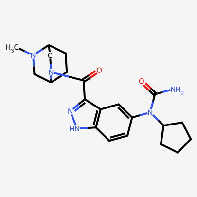 CN1CC2CCC1CN2C(=O)c1n[nH]c2ccc(N(C(N)=O)C3CCCC3)cc12